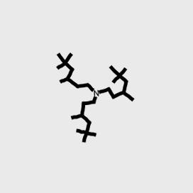 CC(CCN(CCC(C)CC(C)(C)C)CCC(C)CC(C)(C)C)CC(C)(C)C